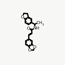 CC(NC(=O)C=Cc1ccc2c(c1)OCO2)c1ccc2c(c1)CCO2